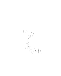 CC(C)(C)c1cc(NC(=O)n2ccc3cc(Oc4ncnc5c4CNCCC5)ccc32)no1